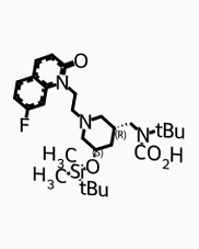 CC(C)(C)N(C[C@@H]1C[C@H](O[Si](C)(C)C(C)(C)C)CN(CCn2c(=O)ccc3ccc(F)cc32)C1)C(=O)O